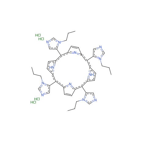 CCCn1cncc1-c1c2nc(c(-c3cncn3CCC)c3ccc([nH]3)c(-c3cncn3CCC)c3nc(c(-c4cncn4CCC)c4ccc1[nH]4)C=C3)C=C2.Cl.Cl.Cl.Cl